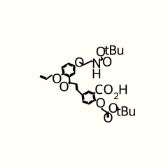 C=CCOc1ccc(OCCNC(=O)OC(C)(C)C)cc1C(=O)C=Cc1ccc(OCC(=O)OC(C)(C)C)c(C(=O)O)c1